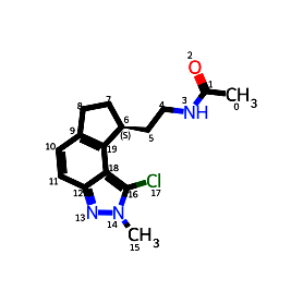 CC(=O)NCC[C@@H]1CCc2ccc3nn(C)c(Cl)c3c21